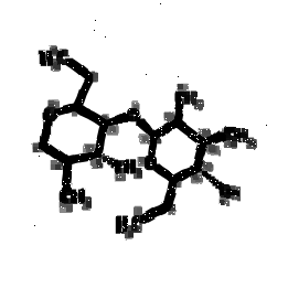 CCC1O[C@@H](O[C@@H]2C(CC)OCC(C)[C@H]2C)C(C)[C@@H](C)[C@@H]1O